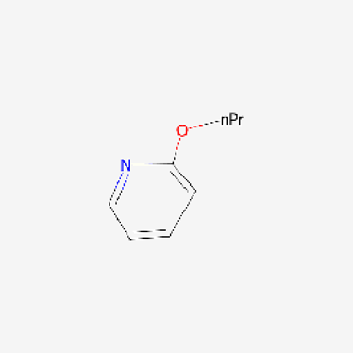 CCCOc1ccccn1